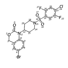 O=C1OCc2cc(Br)ccc2N1C1CCN(S(=O)(=O)c2cc(F)c(Cl)cc2F)CC1